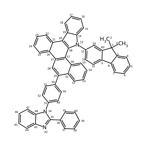 CC1(C)c2ccccc2-c2ccc(-n3c4ccccc4c4c5ccccc5c5cc(-c6ccc(-n7c(-c8ccccc8)nc8ccccc87)cc6)c6ccccc6c5c43)cc21